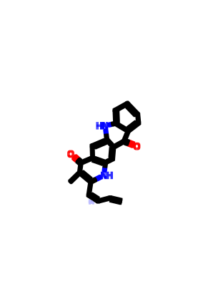 C=C/C=C\c1[nH]c2cc3c(=O)c4ccccc4[nH]c3cc2c(=O)c1C